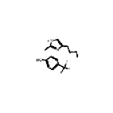 CCCCc1c[nH]c(C)n1.Oc1ccc(C(F)(F)F)cc1